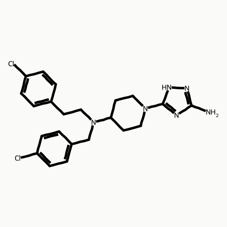 Nc1n[nH]c(N2CCC(N(CCc3ccc(Cl)cc3)Cc3ccc(Cl)cc3)CC2)n1